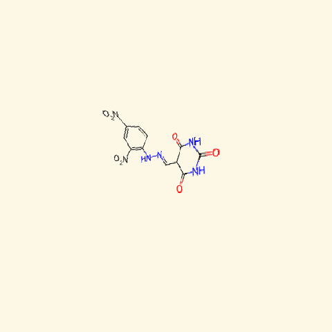 O=C1NC(=O)C(C=NNc2ccc([N+](=O)[O-])cc2[N+](=O)[O-])C(=O)N1